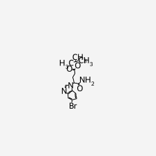 CC(C)(C)OC(=O)CCC(C(N)=O)n1cnc2cc(Br)ccc21